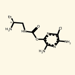 CC[C@H](N)CNC(=O)Oc1nc(Cl)c(N)nc1N